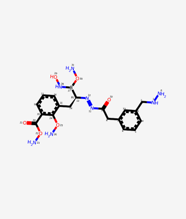 NNCc1cccc(CC(=O)N=N[C@@H](Cc2cccc(C(=O)ON)c2ON)B(NO)ON)c1